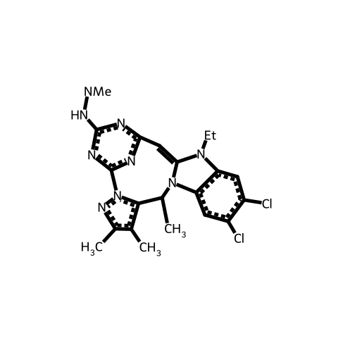 CCN1/C2=C/c3nc(NNC)nc(n3)-n3nc(C)c(C)c3C(C)N2c2cc(Cl)c(Cl)cc21